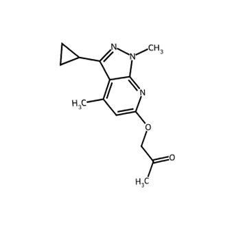 CC(=O)COc1cc(C)c2c(C3CC3)nn(C)c2n1